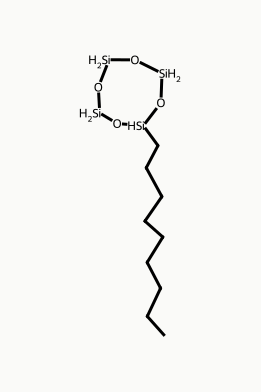 CCCCCCCCC[SiH]1O[SiH2]O[SiH2]O[SiH2]O1